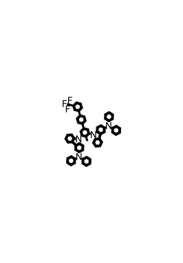 Cc1c(-n2c3ccccc3c3cc(N(c4ccccc4)c4ccccc4)ccc32)cc(-c2ccc(-c3cccc(C(F)(F)F)c3)cc2)cc1-n1c2ccccc2c2cc(N(c3ccccc3)c3ccccc3)ccc21